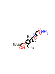 CCC(CC)(c1ccc(OCC(O)C(C)(C)C)c(C)c1)c1nc(CC(=O)ON)co1